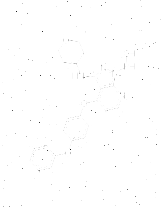 CPn1nc(NC2CCOCC2)c2c(Oc3ccc(Oc4ccccc4)cc3)ccnc21